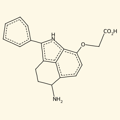 NC1CCc2c(-c3ccccc3)[nH]c3c(OCC(=O)O)ccc1c23